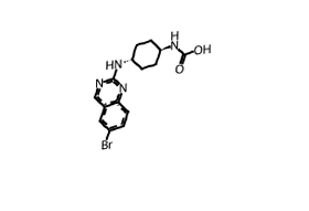 O=C(O)N[C@H]1CC[C@H](Nc2ncc3cc(Br)ccc3n2)CC1